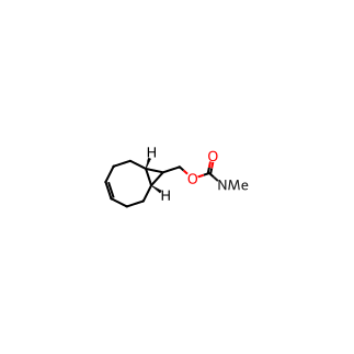 CNC(=O)OCC1[C@H]2CC/C=C\CC[C@@H]12